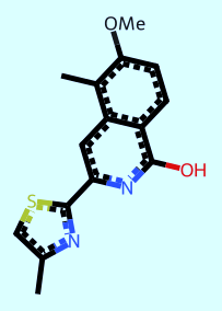 COc1ccc2c(O)nc(-c3nc(C)cs3)cc2c1C